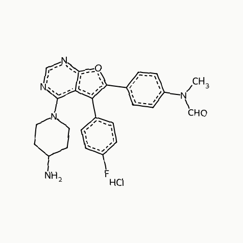 CN(C=O)c1ccc(-c2oc3ncnc(N4CCC(N)CC4)c3c2-c2ccc(F)cc2)cc1.Cl